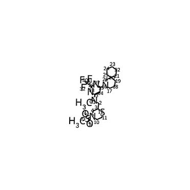 CN(CC1CN(S(C)(=O)=O)CCS1)c1cc(N2CCCC3(CCCCC3)C2)nc(C(F)(F)F)n1